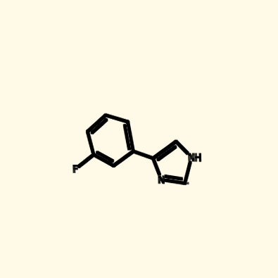 Fc1cccc(-c2c[nH][c]n2)c1